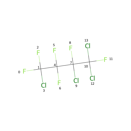 FC(F)(Cl)C(F)(F)C(F)(Cl)C(F)(Cl)Cl